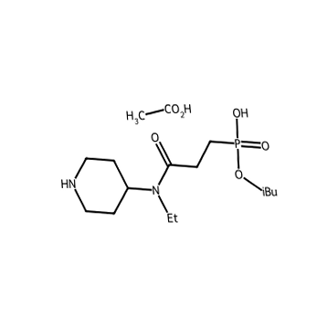 CC(=O)O.CCC(C)OP(=O)(O)CCC(=O)N(CC)C1CCNCC1